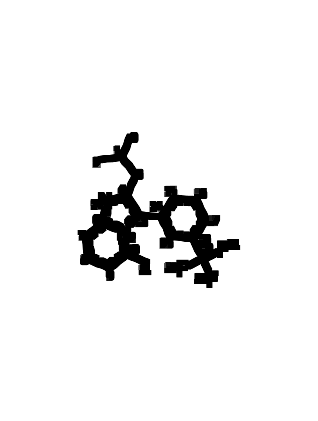 C[C](C)Cc1nc2cccc(C)n2c1-c1cccc(C(F)(F)F)c1